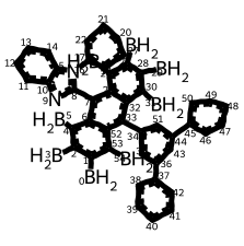 Bc1c(B)c(B)c2c(-c3nc4ccccc4n3-c3ccccc3)c3c(B)c(B)c(B)c(B)c3c(-c3cc(-c4ccccc4)cc(-c4ccccc4)c3)c2c1B